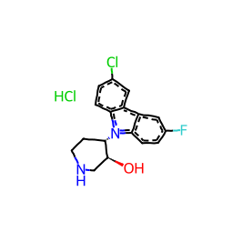 Cl.O[C@H]1CNCC[C@@H]1n1c2ccc(F)cc2c2cc(Cl)ccc21